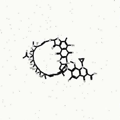 C=C(O)c1cn(C2CC2)c2c(OC)c(N3CCC(NC4=C5NC(=O)/C(C)=C\C=C\[C@H](C)[C@H](O)[C@@H](C)[C@@H](O)[C@@H](C)[C@H](OC(C)=O)[C@H](C)[C@@H](OC)/C=C/O[C@@]6(C)Oc7c(C)c(O)c(c(c7C6=O)C4=O)C5=O)C3)c(F)cc2c1=O